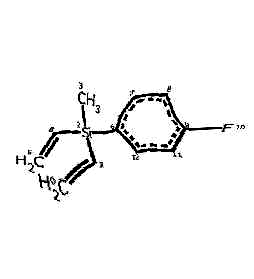 C=C[Si](C)(C=C)c1ccc(F)cc1